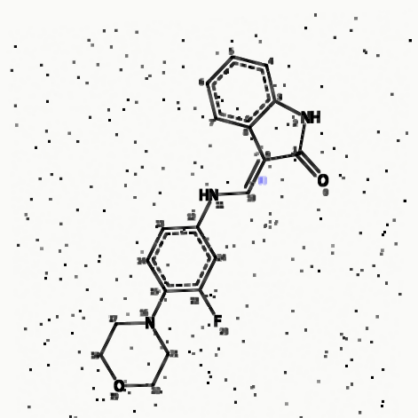 O=C1Nc2ccccc2/C1=C\Nc1ccc(N2CCOCC2)c(F)c1